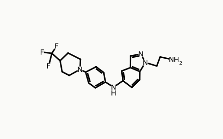 NCCn1ncc2cc(Nc3ccc(N4CCC(C(F)(F)F)CC4)cc3)ccc21